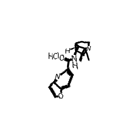 CC1(C)[C@H](NC(=O)c2ccc3occc3n2)C2CCN1CC2.Cl